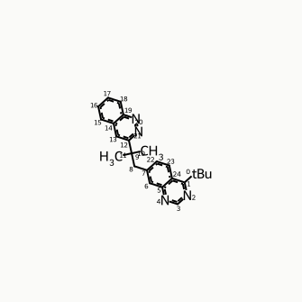 CC(C)(C)c1ncnc2cc(CC(C)(C)c3cc4ccccc4nn3)ccc12